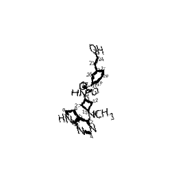 CN(c1ncnc2[nH]ccc12)[C@H]1C[C@@H](NS(=O)(=O)c2cccc(CCO)c2)C1